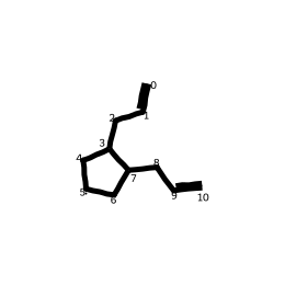 C=CCC1C[CH]CC1CC=C